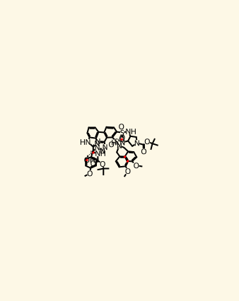 COc1ccc(CN(Cc2ccc(OC)cc2)S(=O)(=O)c2c(S(=O)(=O)NC3CN(C(=O)OC(C)(C)C)CC3N)ccc(-c3cccc4[nH]c([C@@H](CO)NC(=O)OC(C)(C)C)nc34)c2-c2nnn(Cc3ccc(OC)cc3)n2)cc1